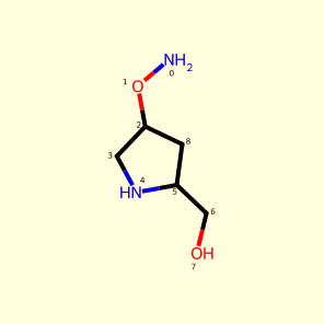 NOC1CNC(CO)C1